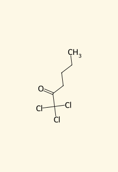 CCCCC(=O)C(Cl)(Cl)Cl